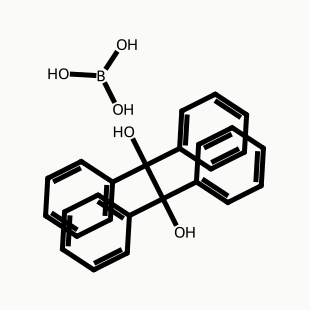 OB(O)O.OC(c1ccccc1)(c1ccccc1)C(O)(c1ccccc1)c1ccccc1